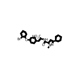 Cn1nc(-c2ccccc2)cc1C(=O)NC(=Cc1ccc(Oc2ccccc2Br)cc1)C(=O)O